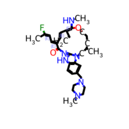 C=CC1=C(\NC)OCCCC(C)CN2/C(=N/C(=O)C(=C/C=C(\C)F)/C=C/1)Nc1ccc(CN3CCN(C)CC3)cc12